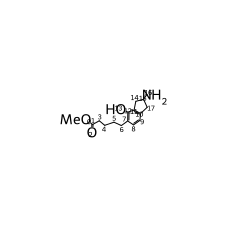 COC(=O)CCCCc1ccc2c(c1O)CC(N)C2